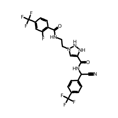 N#CC(NC(=O)C1=CN(CCNC(=O)c2ccc(C(F)(F)F)cc2F)NN1)c1ccc(C(F)(F)F)cc1